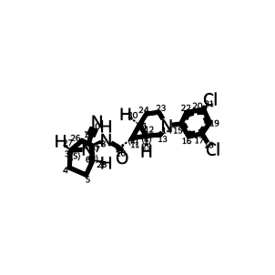 N#CN1[C@H]2CC[C@@H]1[C@H](NC(=O)[C@H]1[C@@H]3CN(c4cc(Cl)cc(Cl)c4)CC[C@@H]31)C2